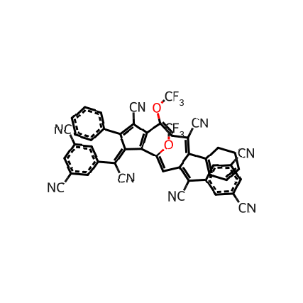 N#CC1=C(c2ccccc2)/C(=C(/C#N)c2cc(C#N)cc(C#N)c2)C2=C1/C(OC(F)(F)F)=C/C(C#N)=C(C1=CC=CCC1)\C(=C(\C#N)c1cc(C#N)cc(C#N)c1)\C=C\2OC(F)(F)F